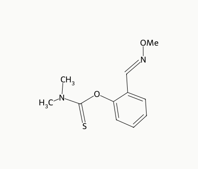 CON=Cc1ccccc1OC(=S)N(C)C